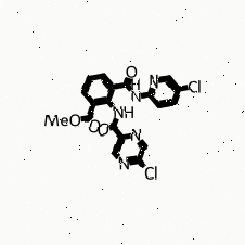 COC(=O)c1cccc(C(=O)Nc2ccc(Cl)cn2)c1NC(=O)c1cnc(Cl)cn1